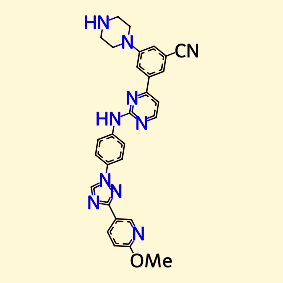 COc1ccc(-c2ncn(-c3ccc(Nc4nccc(-c5cc(C#N)cc(N6CCNCC6)c5)n4)cc3)n2)cn1